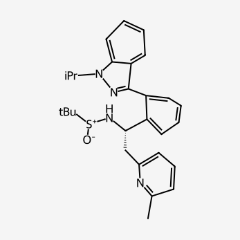 Cc1cccc(C[C@H](N[S+]([O-])C(C)(C)C)c2ccccc2-c2nn(C(C)C)c3ccccc23)n1